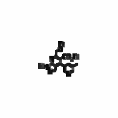 CCOCc1nc2c(cnn2CC)c(-c2cncc(C)c2)c1C(=O)OCC